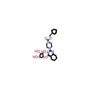 O=C(OCc1ccccc1)N1CCN(c2nc(O[C@@H]3C[C@H](O)[C@@H](O)[C@@H]3O)c3ccccc3n2)CC1